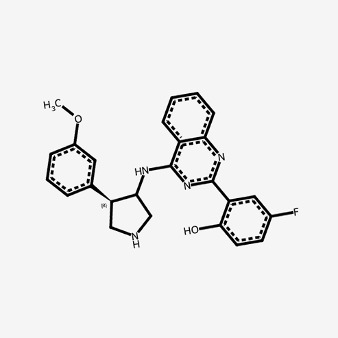 COc1cccc([C@@H]2CNCC2Nc2nc(-c3cc(F)ccc3O)nc3ccccc23)c1